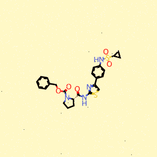 O=C(Nc1nc(-c2ccc(NS(=O)(=O)C3CC3)cc2)cs1)[C@@H]1CCCN1C(=O)OCc1ccccc1